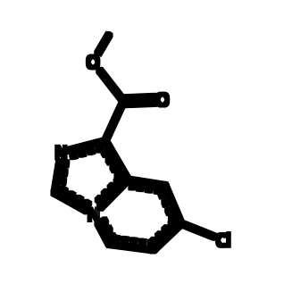 COC(=O)c1ncn2ccc(Cl)cc12